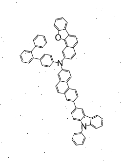 c1ccc(-c2ccccc2-c2ccc(N(c3ccc4c(ccc5cc(-c6ccc7c(c6)c6ccccc6n7-c6ccccc6)ccc54)c3)c3ccc4ccc5c6ccccc6oc5c4c3)cc2)cc1